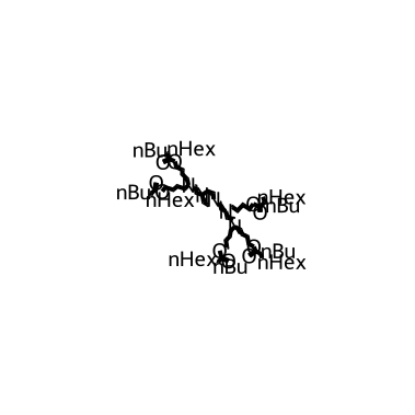 CCCCCCC(CCCC)C(=O)OCCCCN(CCCCOC(=O)C(CCCC)CCCCCC)CCN(CCCCOC(=O)C(CCCC)CCCCCC)CCN1CCN(CCN(CCCCOC(=O)C(CCCC)CCCCCC)CCCCOC(=O)C(CCCC)CCCCCC)CC1